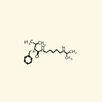 CC(C)NCCCCCNC(=O)[C@H](Cc1ccccc1)C(C)C